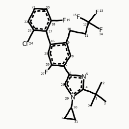 CC(C)(C)c1nc(-c2cc(CCC(F)(F)F)c(-c3c(F)cccc3Cl)cc2F)cn1C1CC1